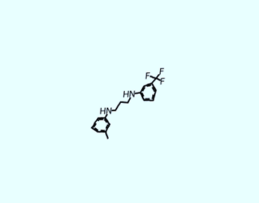 Cc1cccc(NCCCNc2cccc(C(F)(F)F)c2)c1